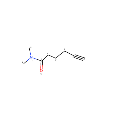 [C]#CCCCC(=O)N(C)C